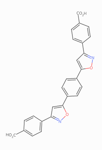 O=C(O)c1ccc(-c2cc(-c3ccc(-c4cc(-c5ccc(C(=O)O)cc5)no4)cc3)on2)cc1